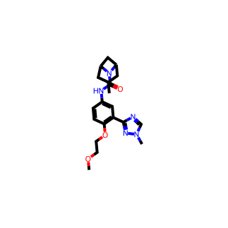 COCCOc1ccc(NC(=O)N2C3CC(C)CC2C3)cc1-c1ncn(C)n1